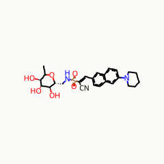 CC1O[C@H](CNS(=O)(=O)/C(C#N)=C/c2ccc3cc(N4CCCCC4)ccc3c2)[C@@H](O)[C@H](O)[C@H]1O